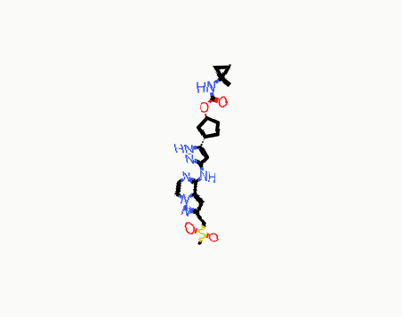 CC1(NC(=O)O[C@@H]2CC[C@H](c3cc(Nc4nccn5nc(CS(C)(=O)=O)cc45)n[nH]3)C2)CC1